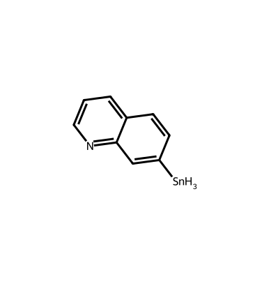 [SnH3][c]1ccc2cccnc2c1